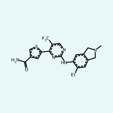 CCc1cc2c(cc1Nc1ncc(C(F)(F)F)c(-c3cc(C(N)=O)cs3)n1)CN(C)C2